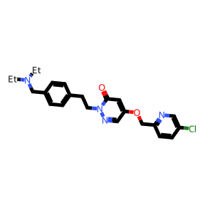 CCN(CC)Cc1ccc(CCn2ncc(OCc3ccc(Cl)cn3)cc2=O)cc1